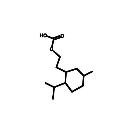 CC1CCC(C(C)C)C(CCOC(=O)O)C1